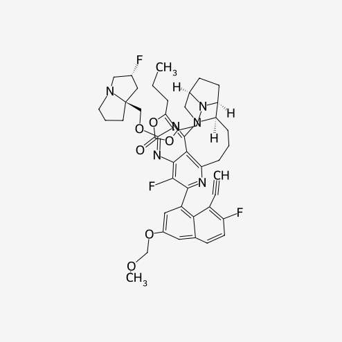 C#Cc1c(F)ccc2cc(OCOC)cc(-c3nc4c5c(nc(OC[C@@]67CCCN6C[C@H](F)C7)nc5c3F)N3C[C@H]5CC[C@@H]([C@H]3CCC4)N5Cc3oc(=O)oc3CCC)c12